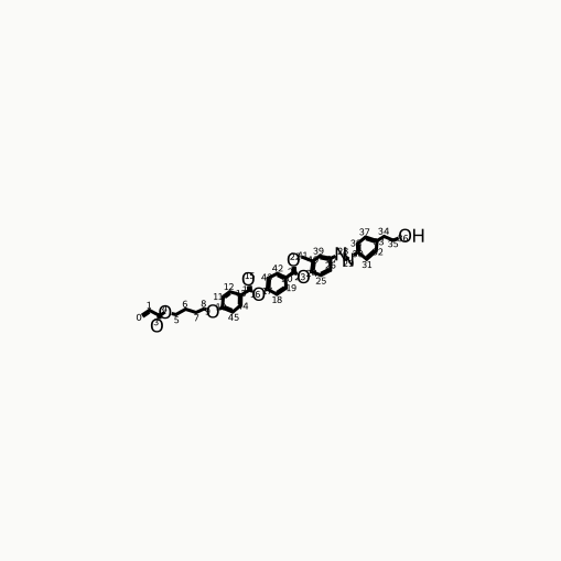 C=CC(=O)OCCCCOc1ccc(C(=O)Oc2ccc(C(=O)Oc3ccc(/N=N/c4ccc(CCO)cc4)cc3C)cc2)cc1